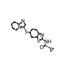 O=C(Nc1nc2ccc(Sc3cnc4ccccn34)cc2s1)C1CC1